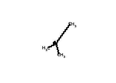 CCCCCCCCCCCCCCCCCCn1cc[n+](CCCCC)c1CCCCCCCC